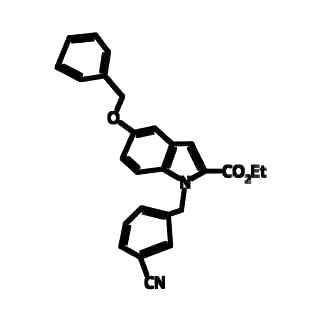 CCOC(=O)c1cc2cc(OCc3ccccc3)ccc2n1Cc1cccc(C#N)c1